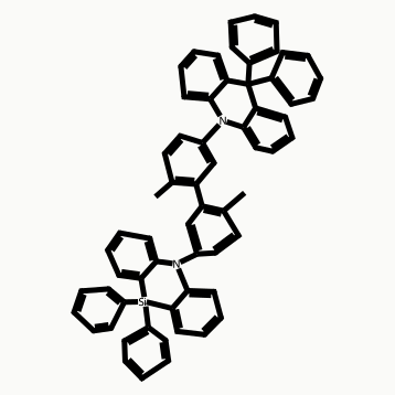 Cc1ccc(N2c3ccccc3C(c3ccccc3)(c3ccccc3)c3ccccc32)cc1-c1cc(N2c3ccccc3[Si](c3ccccc3)(c3ccccc3)c3ccccc32)ccc1C